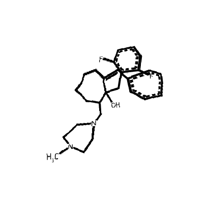 CN1CCN(CC2CCCCC(=Cc3ccccc3)C2(O)Cc2c(F)cccc2F)CC1